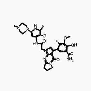 COc1c(O)c(C(N)=O)cc(-c2cn(CC(=O)NC3=C(Cl)C(F)NC(N4CCN(C)CC4)=C3)c3nc4n(c(=O)c23)CCC4)c1F